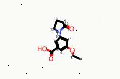 CCOc1cc(C(=O)O)cc(N2CCCC2=O)c1